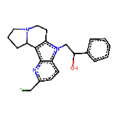 OC(Cn1c2c(c3nc(CF)ccc31)C1CCCN1CC2)c1ccccc1